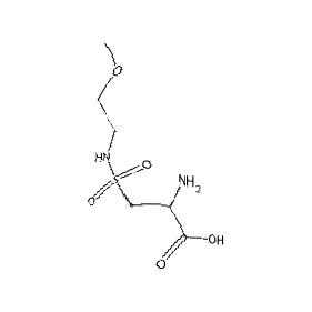 COCCNS(=O)(=O)CC(N)C(=O)O